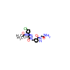 CC(C)(C)C(=O)Nc1cc(Cl)ccc1-c1cc(=O)n(Cc2cccc(C(=O)NCC(N)=O)c2)cn1